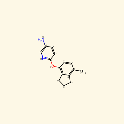 Cc1ccc(Oc2ccc(N)cn2)c2c1CCC2